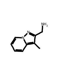 Cc1c(CN)nn2ccccc12